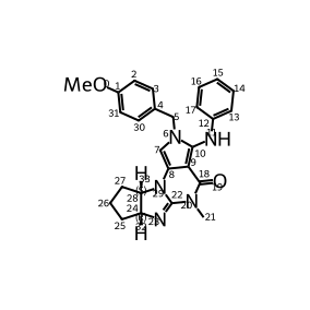 COc1ccc(Cn2cc3c(c2Nc2ccccc2)C(=O)N(C)C2=N[C@@H]4CCC[C@@H]4N23)cc1